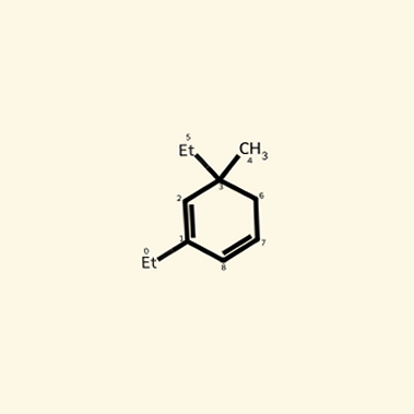 CCC1=CC(C)(CC)CC=C1